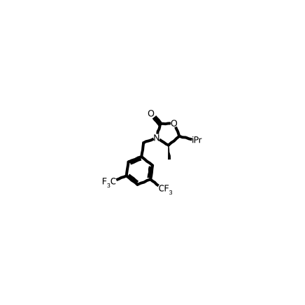 CC(C)C1OC(=O)N(Cc2cc(C(F)(F)F)cc(C(F)(F)F)c2)[C@@H]1C